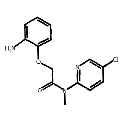 CN(C(=O)COc1ccccc1N)c1ccc(Cl)cn1